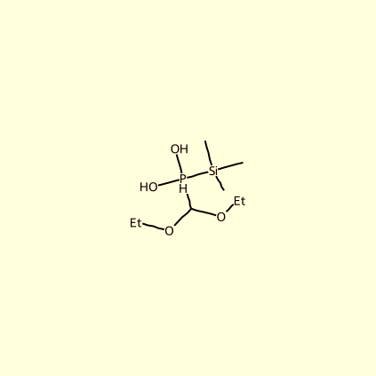 CCOC(OCC)[PH](O)(O)[Si](C)(C)C